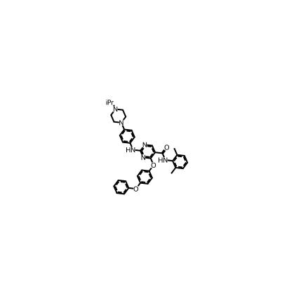 Cc1cccc(C)c1NC(=O)c1cnc(Nc2ccc(N3CCN(C(C)C)CC3)cc2)nc1Oc1ccc(Oc2ccccc2)cc1